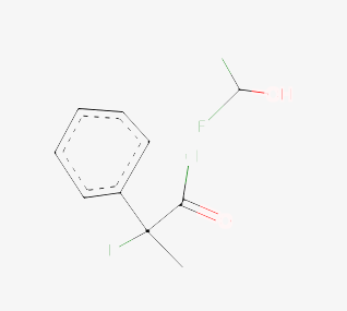 CC(F)(C(=O)Cl)c1ccccc1.OC(F)F